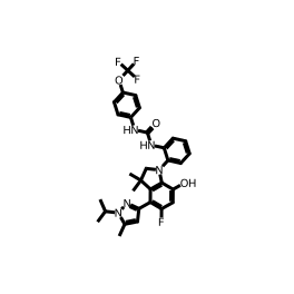 Cc1cc(-c2c(F)cc(O)c3c2C(C)(C)CN3c2ccccc2NC(=O)Nc2ccc(OC(F)(F)F)cc2)nn1C(C)C